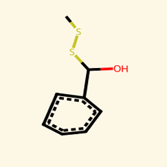 CSSC(O)c1ccccc1